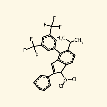 CC(C)c1ccc2c(c1-c1cc(C(F)(F)F)cc(C(F)(F)F)c1)C=C(c1ccccc1)[CH]2[Zr]([Cl])[Cl]